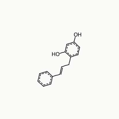 Oc1ccc(CC=Cc2ccccc2)c(O)c1